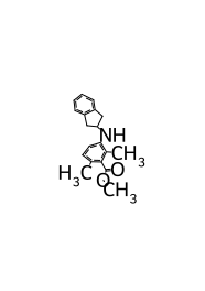 COC(=O)c1c(C)ccc(NC2Cc3ccccc3C2)c1C